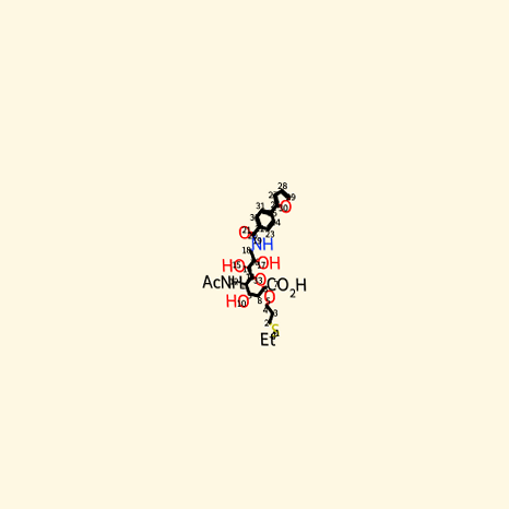 CCSCCCO[C@]1(C(=O)O)CC(O)[C@@H](NC(C)=O)C([C@H](O)[C@H](O)CNC(=O)c2ccc(-c3ccco3)cc2)O1